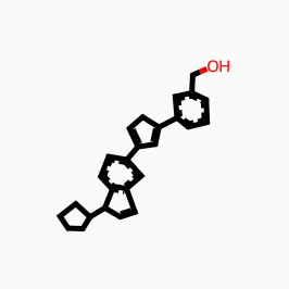 OCc1cccc(C2=CC(c3ccc4c(c3)C=CC4C3CCCC3)=CC2)c1